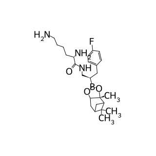 CC1(C)C2CC3OB([C@@H](CNC(=O)[C@@H](N)CCCCN)Cc4ccc(F)cc4)O[C@]3(C)C1C2